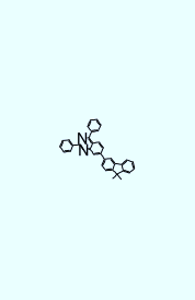 CC1(C)c2ccccc2-c2cc(-c3ccc4c(-c5ccccc5)nc(-c5ccccc5)nc4c3)ccc21